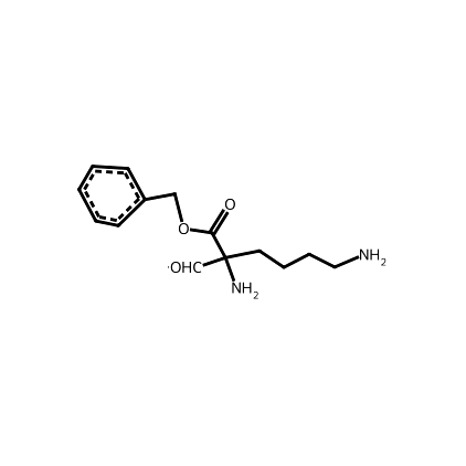 NCCCCC(N)([C]=O)C(=O)OCc1ccccc1